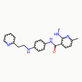 CNc1nc(C)ccc1C(=O)Nc1ccc(NCCc2ccccn2)cc1